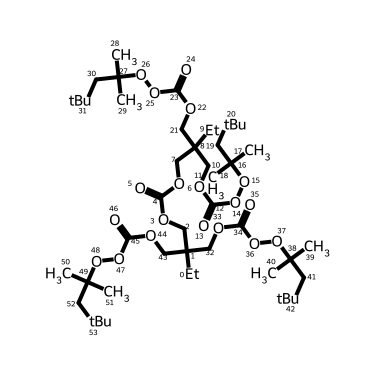 CCC(COC(=O)OCC(CC)(COC(=O)OOC(C)(C)CC(C)(C)C)COC(=O)OOC(C)(C)CC(C)(C)C)(COC(=O)OOC(C)(C)CC(C)(C)C)COC(=O)OOC(C)(C)CC(C)(C)C